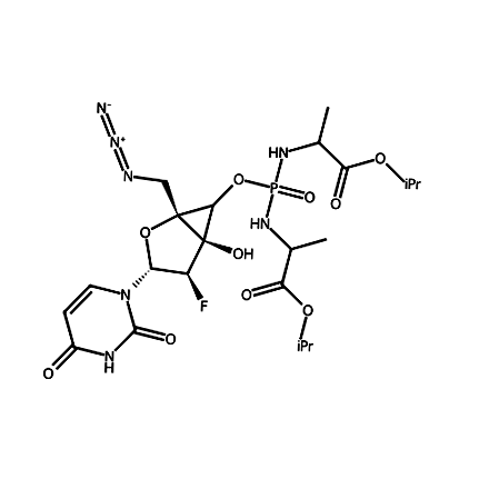 CC(C)OC(=O)C(C)NP(=O)(NC(C)C(=O)OC(C)C)OC1[C@@]2(CN=[N+]=[N-])O[C@@H](n3ccc(=O)[nH]c3=O)[C@H](F)[C@@]12O